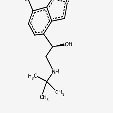 CC(C)(C)NC[C@H](O)c1ccc(Cl)c2[nH]ncc12